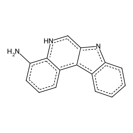 Nc1cccc2c3c4ccccc4nc-3c[nH]c12